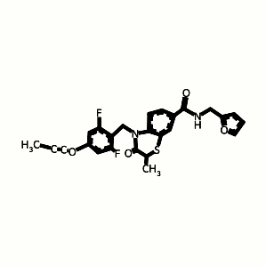 CCCOc1cc(F)c(CN2C(=O)C(C)Sc3cc(C(=O)NCc4ccco4)ccc32)c(F)c1